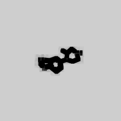 CC1CNCCN1c1ccc2nc[nH]c2c1